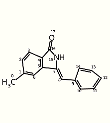 Cc1ccc2c(c1)C(=Cc1ccccc1)NC2=O